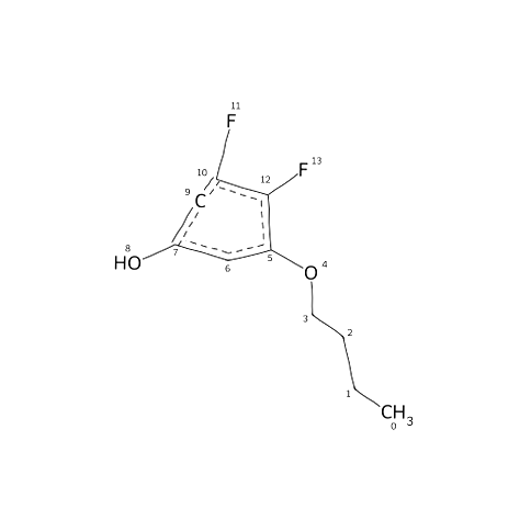 CCCCOc1cc(O)cc(F)c1F